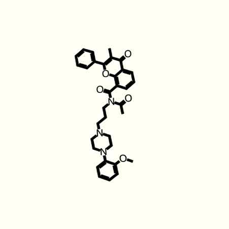 COc1ccccc1N1CCN(CCCN(C(C)=O)C(=O)c2cccc3c(=O)c(C)c(-c4ccccc4)oc23)CC1